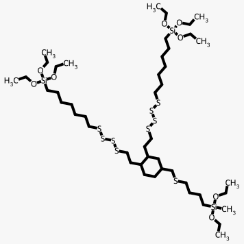 CCO[Si](C)(CCCCSCC1CCC(CCSSSSCCCCCCC[Si](OCC)(OCC)OCC)C(CCSSSSCCCCCCC[Si](OCC)(OCC)OCC)C1)OCC